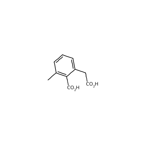 Cc1cccc(CC(=O)O)c1C(=O)O